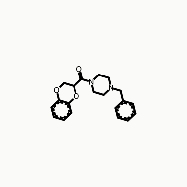 O=C(C1COc2ccccc2O1)N1CCN(Cc2ccccc2)CC1